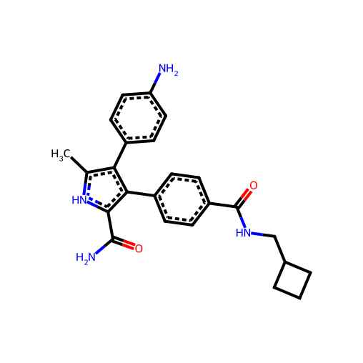 Cc1[nH]c(C(N)=O)c(-c2ccc(C(=O)NCC3CCC3)cc2)c1-c1ccc(N)cc1